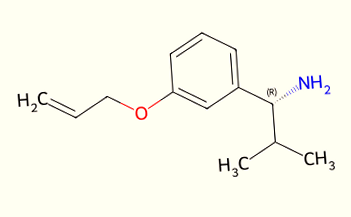 C=CCOc1cccc([C@H](N)C(C)C)c1